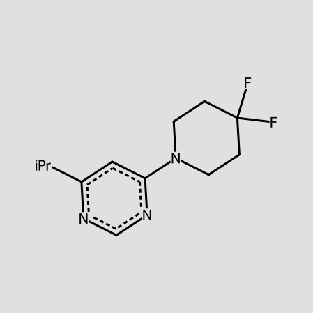 CC(C)c1cc(N2CCC(F)(F)CC2)ncn1